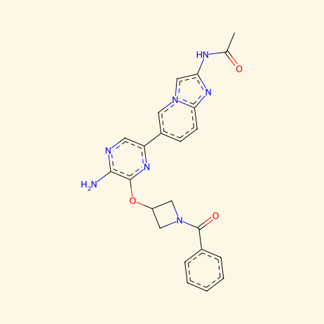 CC(=O)Nc1cn2cc(-c3cnc(N)c(OC4CN(C(=O)c5ccccc5)C4)n3)ccc2n1